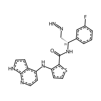 N=NC[C@@H](NC(=O)c1sccc1Nc1ccnc2[nH]ccc12)c1cccc(F)c1